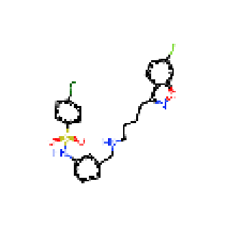 O=S(=O)(Nc1cccc(CNCCCCc2noc3cc(F)ccc23)c1)c1ccc(Cl)cc1